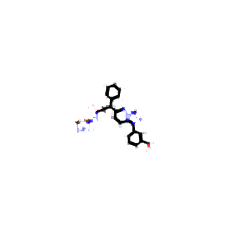 CC(C)(C(=O)Nc1nncs1)C(c1ccccc1)c1ccc2c(-c3cccc(CO)c3)ncn2c1